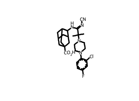 CC(C)(/C(=N/C#N)NC1C2CC3CC1CC(C(=O)O)(C3)C2)N1CCN(c2ccc(F)cc2Cl)CC1